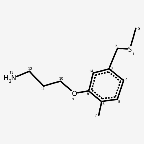 CSCc1ccc(C)c(OCCCN)c1